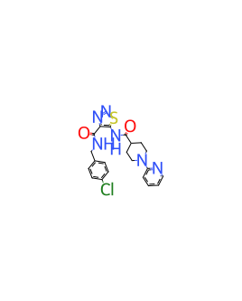 O=C(NCc1ccc(Cl)cc1)c1nnsc1NC(=O)C1CCN(c2ccccn2)CC1